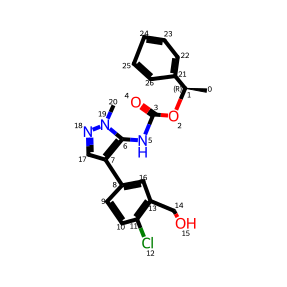 C[C@@H](OC(=O)Nc1c(-c2ccc(Cl)c(CO)c2)cnn1C)c1ccccc1